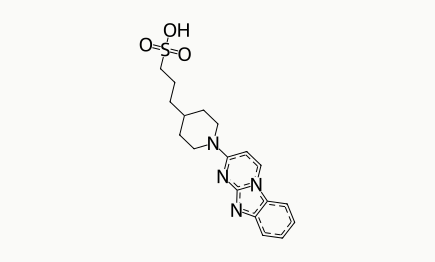 O=S(=O)(O)CCCC1CCN(c2ccn3c(n2)nc2ccccc23)CC1